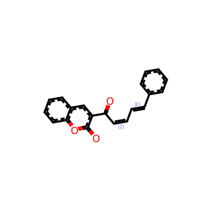 O=C(/C=C\C=C\c1ccccc1)c1cc2ccccc2oc1=O